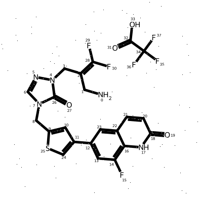 NCC(Cn1ncn(Cc2cc(-c3cc(F)c4[nH]c(=O)ccc4c3)cs2)c1=O)=C(F)F.O=C(O)C(F)(F)F